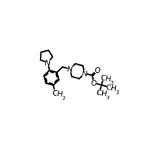 Cc1ccc(N2CCCC2)c(CN2CCN(C(=O)OC(C)(C)C)CC2)c1